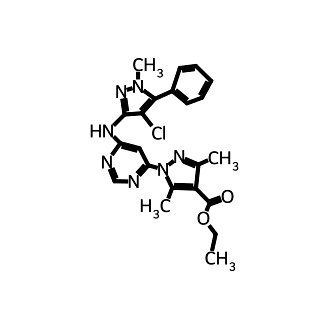 CCOC(=O)c1c(C)nn(-c2cc(Nc3nn(C)c(-c4ccccc4)c3Cl)ncn2)c1C